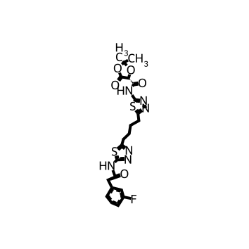 CC1(C)OC(=O)[C@@H](C(=O)Nc2nnc(CCCCc3nnc(NC(=O)Cc4cccc(F)c4)s3)s2)O1